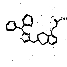 O=C(O)COc1cccc2c1CCC(Cc1coc(C(c3ccccc3)c3ccccc3)n1)C2